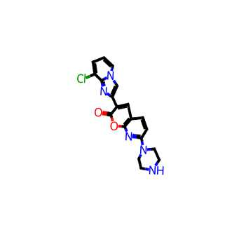 O=c1oc2nc(N3CCNCC3)ccc2cc1-c1cn2cccc(Cl)c2n1